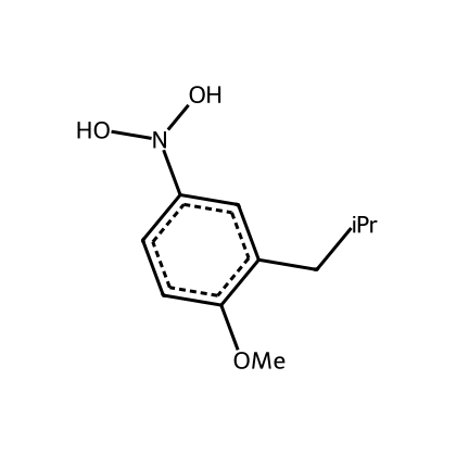 COc1ccc(N(O)O)cc1CC(C)C